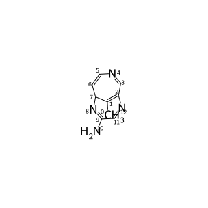 CC1=C2C=NC=CC1N=C(N)C=N2